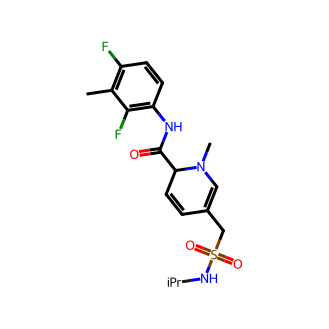 Cc1c(F)ccc(NC(=O)C2C=CC(CS(=O)(=O)NC(C)C)=CN2C)c1F